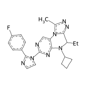 CCC1c2nnc(C)n2-c2cnc(-n3ccnc3-c3ccc(F)cc3)nc2N1C1CCC1